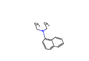 CCN(CC)c1cccc2[c]cccc12